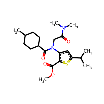 COC(=O)c1sc(C(C)C)cc1N(CC(=O)N(C)C)C(=O)C1CCC(C)CC1